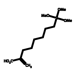 C=C(CCCCCC[Si](OC)(OC)OC)C(=O)O